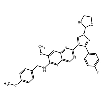 COc1ccc(CNc2nc3cnc(-c4cn(C5NCCO5)nc4-c4ccc(F)cc4)nc3cc2OC)cc1